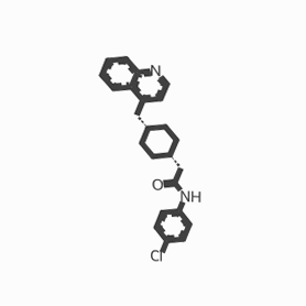 O=C(C[C@H]1CC[C@@H](Cc2ccnc3ccccc23)CC1)Nc1ccc(Cl)cc1